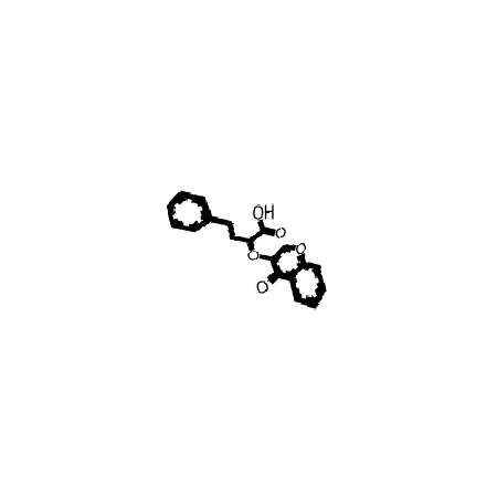 O=C(O)C(CCc1ccccc1)Oc1coc2ccccc2c1=O